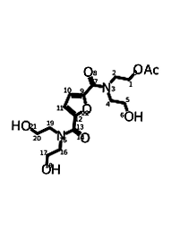 CC(=O)OCCN(CCO)C(=O)c1ccc(C(=O)N(CCO)CCO)o1